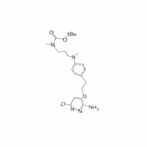 CN(CCCN(C)c1ccc(CCOc2cc(Cl)nnc2N)cc1)C(=O)OC(C)(C)C